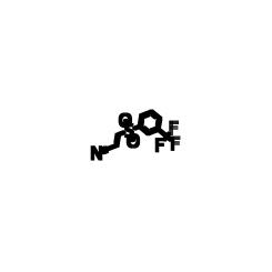 N#CC=CS(=O)(=O)c1cccc(C(F)(F)F)c1